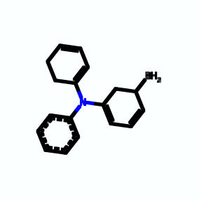 BC1C=CC=C(N(C2=CC=CCC2)c2ccccc2)C1